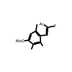 COc1cc(C)c(/C=C(/F)C(C)=O)c(C)c1C